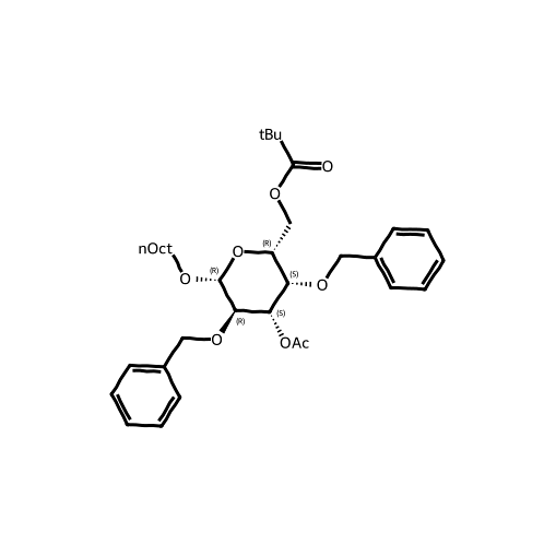 CCCCCCCCO[C@@H]1O[C@H](COC(=O)C(C)(C)C)[C@H](OCc2ccccc2)[C@H](OC(C)=O)[C@H]1OCc1ccccc1